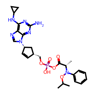 CC(C)ON(c1ccccc1)[C@@H](C)C(=O)OP(=O)(O)OC[C@@H]1C=C[C@H](n2cnc3c(NC4CC4)nc(N)nc32)C1